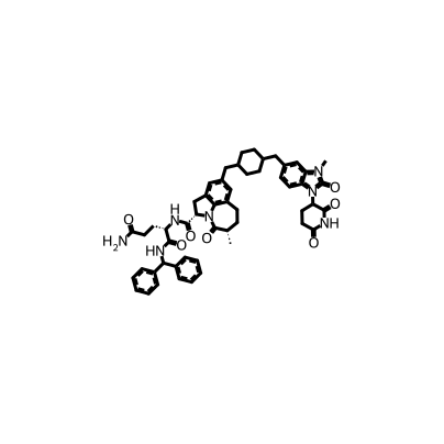 C[C@H]1CCc2cc(CC3CCC(Cc4ccc5c(c4)n(C)c(=O)n5C4CCC(=O)NC4=O)CC3)cc3c2N(C1=O)[C@H](C(=O)N[C@@H](CCC(N)=O)C(=O)NC(c1ccccc1)c1ccccc1)C3